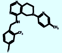 Cc1ccc(N2CCc3ncnc(NCc4ccc(F)cc4C(F)(F)F)c3C2)nc1